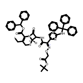 CC(C)(C)OC(=O)CO/N=C(\C(=O)NC1C(=O)N2C(C(=O)OC(c3ccccc3)c3ccccc3)=C(CI)CS[C@@H]12)c1csc(NC(c2ccccc2)(c2ccccc2)c2ccccc2)n1